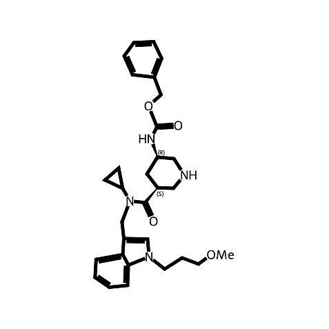 COCCCn1cc(CN(C(=O)[C@@H]2CNC[C@H](NC(=O)OCc3ccccc3)C2)C2CC2)c2ccccc21